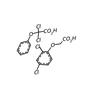 O=C(O)C(Cl)(Cl)Oc1ccccc1.O=C(O)COc1ccc(Cl)cc1Cl